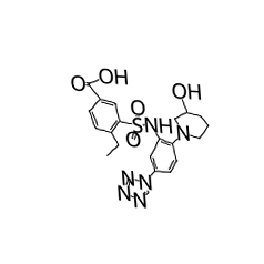 CCc1ccc(C(=O)O)cc1S(=O)(=O)Nc1cc(-n2cnnn2)ccc1N1CCCC(O)C1